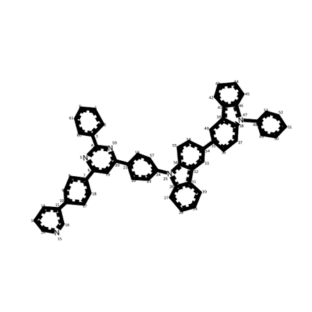 c1ccc(-c2nc(-c3ccc(-c4cccnc4)cc3)cc(-c3ccc(-n4c5ccccc5c5cc(-c6ccc7c(c6)c6ccccc6n7-c6ccccc6)ccc54)cc3)n2)cc1